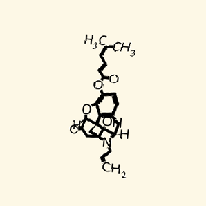 C=CCN1[C@@H]2Cc3ccc(OC(=O)/C=C/C=C(C)C)c4c3[C@@]35CC1(CC(=O)[C@@H]3O4)[C@@]25O